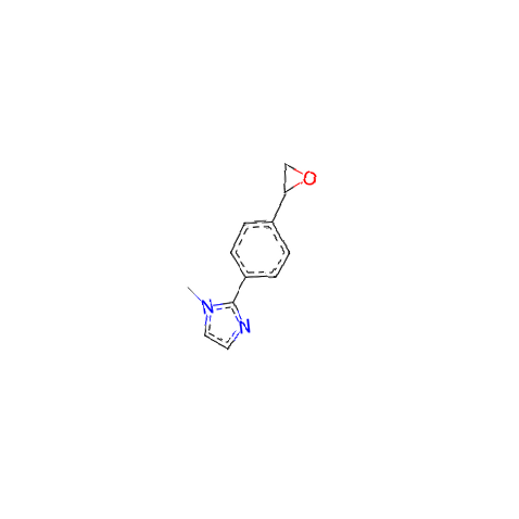 Cn1ccnc1-c1ccc(C2CO2)cc1